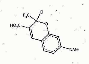 CNc1ccc2c(c1)OC(Cl)(C(F)(F)F)C(C(=O)O)=C2